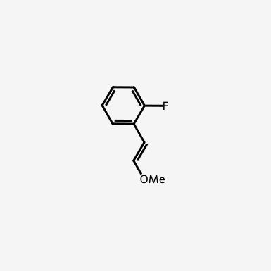 CO/C=C/c1ccccc1F